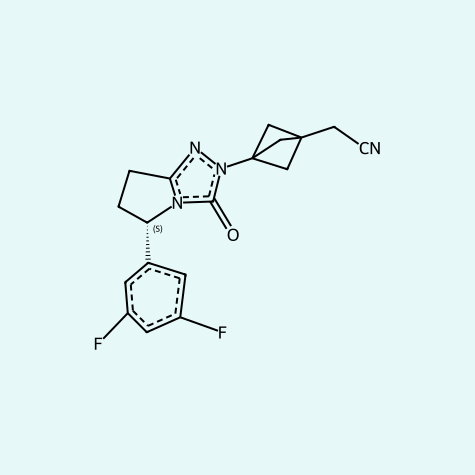 N#CCC12CC(n3nc4n(c3=O)[C@H](c3cc(F)cc(F)c3)CC4)(C1)C2